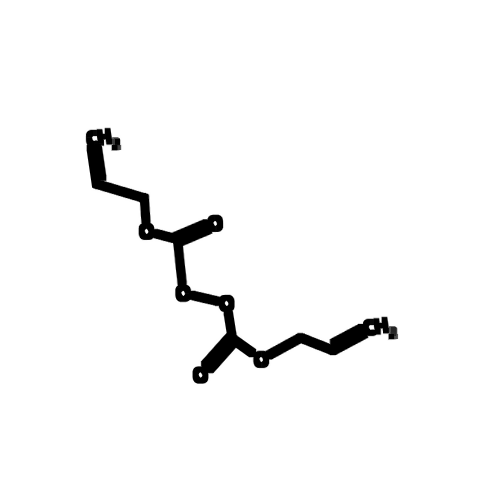 C=CCOC(=O)OOC(=O)OCC=C